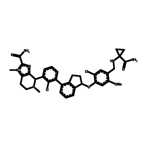 COc1cc(OC2CCc3c(-c4cccc(C5c6nc(C(N)=O)n(C)c6CCN5C)c4Cl)cccc32)c(Cl)cc1CNC1(C(N)=O)CC1